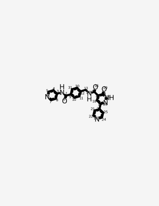 O=C(Nc1ccncc1)c1ccc(CNC(=O)c2cc(-c3ccncc3)n[nH]c2=O)cc1